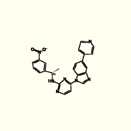 C[C@H](Nc1nccc(-n2cnc3cc(-c4ccncc4)ccc32)n1)c1cccc([N+](=O)[O-])c1